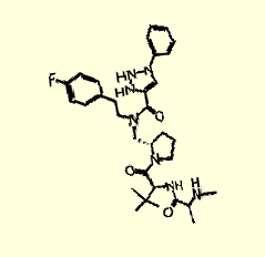 CN[C@@H](C)C(=O)N[C@H](C(=O)N1CCC[C@H]1CN(CCc1ccc(F)cc1)C(=O)C1=CN(c2ccccc2)NN1)C(C)(C)C